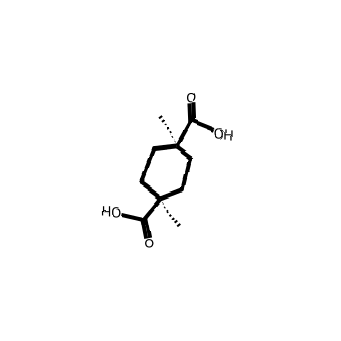 C[C@]1(C(=O)O)CC[C@@](C)(C(=O)O)CC1